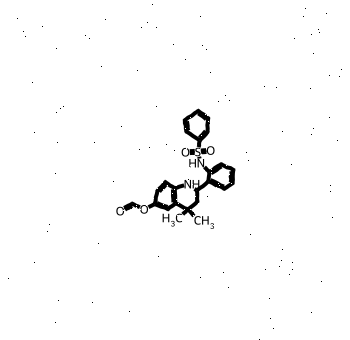 CC1(C)CC(c2ccccc2NS(=O)(=O)c2ccccc2)Nc2ccc(OC=O)cc21